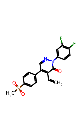 C=Cc1c(-c2ccc(S(C)(=O)=O)cc2)cnn(-c2ccc(F)c(F)c2)c1=O